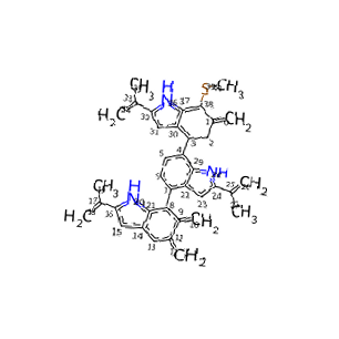 C=C1CC(c2ccc(-c3c(=C)c(=C)cc4cc(C(=C)C)[nH]c34)c3cc(C(=C)C)[nH]c23)=c2cc(C(=C)C)[nH]c2=C1SC